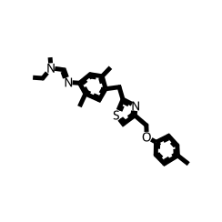 CCN(C)C=Nc1cc(C)c(Cc2nc(COc3ccc(C)cc3)cs2)cc1C